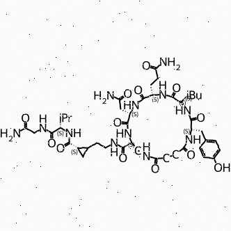 CC[C@H](C)[C@@H]1NC(=O)[C@H](Cc2ccc(O)cc2)NC(=O)CCC(=O)NC[C@@H](C(=O)NCCC2C[C@@H]2C(=O)N[C@H](C(=O)NCC(N)=O)C(C)C)NC(=O)[C@H](CC(N)=O)NC(=O)[C@H](CCC(N)=O)NC1=O